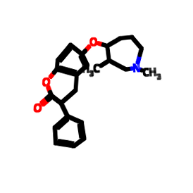 CC1CN(C)CCCC1Oc1ccc2c(c1)CC(c1ccccc1)C(=O)O2